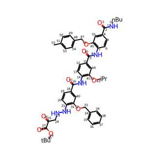 CCCCNC(=O)c1ccc(NC(=O)c2ccc(NC(=O)c3ccc(NNCC(=O)C(=O)OC(C)(C)C)c(OCc4ccccc4)c3)c(OC(C)C)c2)c(OCc2ccc(C)cc2)c1